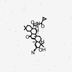 CC1(C)CC[C@]2(C(=O)NNC(=O)C3CC3)CC[C@]3(C)C(C(=O)C=C4[C@@]5(C)C=C(C#N)C(O)C(C)(C)[C@@H]5CC[C@]43C)C2C1